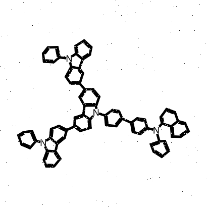 c1ccc(N(c2ccc(-c3ccc(-n4c5ccc(-c6ccc7c(c6)c6ccccc6n7-c6ccccc6)cc5c5cc(-c6ccc7c(c6)c6ccccc6n7-c6ccccc6)ccc54)cc3)cc2)c2cccc3ccccc23)cc1